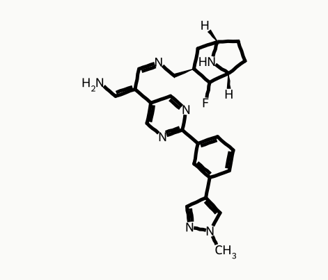 Cn1cc(-c2cccc(-c3ncc(C(/C=N\C[C@H]4C[C@@H]5CC[C@@H](N5)C4F)=C/N)cn3)c2)cn1